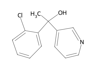 CC(O)(c1cccnc1)c1ccccc1Cl